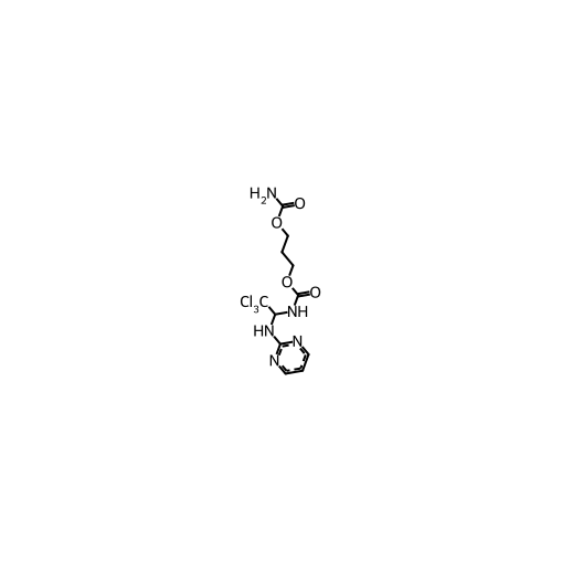 NC(=O)OCCCOC(=O)NC(Nc1ncccn1)C(Cl)(Cl)Cl